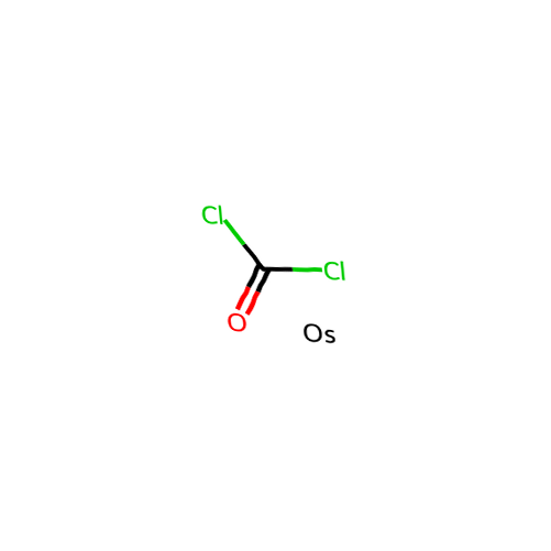 O=C(Cl)Cl.[Os]